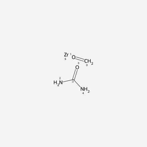 C=O.NC(N)=O.[Zr]